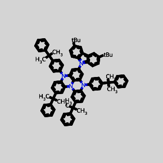 CC(C)(C)c1ccc2c(c1)c1cc(C(C)(C)C)ccc1n2-c1cc2c3c(c1)N(c1ccc(C(C)(C)c4ccccc4)cc1)c1ccc(C(C)(C)c4ccccc4)cc1N3c1cc(C(C)(C)c3ccccc3)ccc1N2c1ccc(C(C)(C)c2ccccc2)cc1